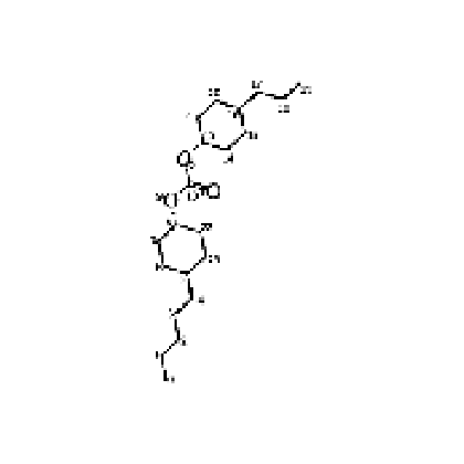 CCCCC[C@H]1CC[C@H](OC(=O)O[C@H]2CC[C@H](CCC)CC2)CC1